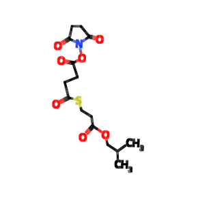 CC(C)COC(=O)CCSC(=O)CCC(=O)ON1C(=O)CCC1=O